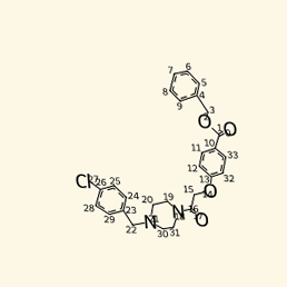 O=C(OCc1ccccc1)c1ccc(OCC(=O)N2CCN(Cc3ccc(Cl)cc3)CC2)cc1